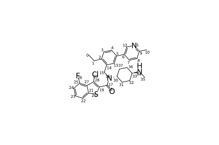 CCc1ccc(-c2ccc(C)nc2)cc1CN(C(=O)c1sc2cccc(F)c2c1Cl)[C@H]1CC[C@H](NC)CC1